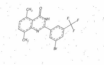 Cc1ccc(C)c2c(=O)[nH]c(-c3cc(Br)cc(C(F)(F)F)c3)nc12